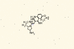 CN/C(=C\C(=N)C(=N)c1cc(OC2(C)CC2)ccc1N)N1CC(N)CC1C